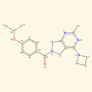 Cc1nc2c(c(N3CCC3)n1)CN(C(=O)c1ccc(OC(F)F)cc1)C2